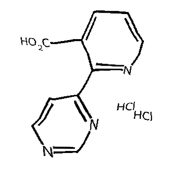 Cl.Cl.O=C(O)c1cccnc1-c1ccncn1